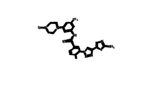 CCN1CCN(c2cc(NC(=O)c3ccc(C)c(-n4cc(-c5cnc(N)s5)nn4)c3)cc(C(F)(F)F)c2)CC1